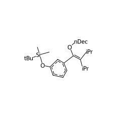 CCCCCCCCCCOC(=C(C(C)C)C(C)C)c1cccc(O[Si](C)(C)C(C)(C)C)c1